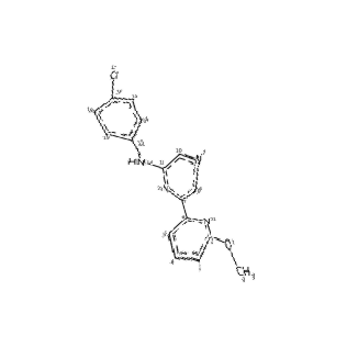 COc1cccc(-c2cncc(Nc3ccc(Cl)cc3)n2)n1